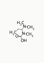 CCC(N(C)C)N(C)C(=O)O